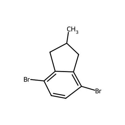 CC1Cc2c(Br)ccc(Br)c2C1